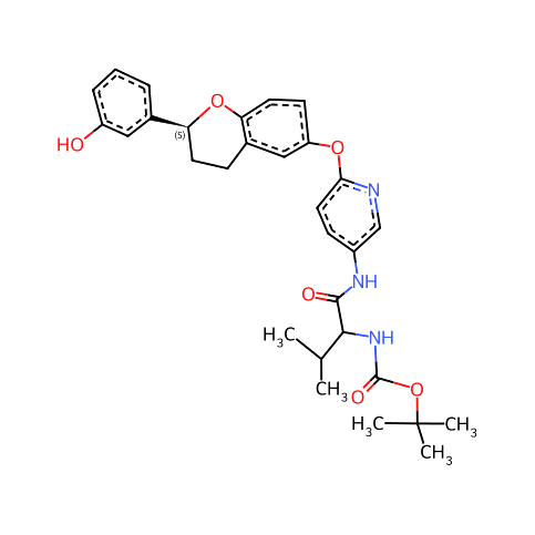 CC(C)C(NC(=O)OC(C)(C)C)C(=O)Nc1ccc(Oc2ccc3c(c2)CC[C@@H](c2cccc(O)c2)O3)nc1